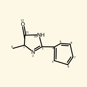 CC1N=C(c2ccccc2)NC1=O